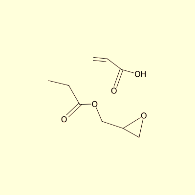 C=CC(=O)O.CCC(=O)OCC1CO1